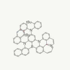 CC(C)(C)c1ccccc1N(c1cc2c3c(c1)N(c1cccc4ccccc14)c1c(ccc4ccccc14)B3c1ccc3c(c1N2c1cccc2c1CCC=C2)CC#CC=C3)c1ccccc1C(C)(C)C